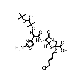 CC(C)(C)OC(=O)C(C)(C)O/N=C(\C(=O)N[C@@H]1C(=O)N2C[C@](SC/C=C/CCl)(C(=O)O)S[C@H]12)c1csc(N)n1